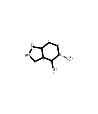 CC(C)C1C2CNNC2CC[C@@H]1C